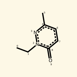 CCn1nc(C)ccc1=O